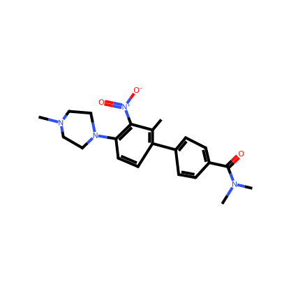 Cc1c(-c2ccc(C(=O)N(C)C)cc2)ccc(N2CCN(C)CC2)c1[N+](=O)[O-]